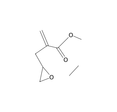 C=C(CC1CO1)C(=O)OC.CC